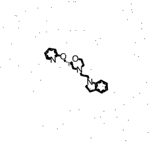 c1ccc(OC[C@H]2CN(CCN3CCc4ccccc43)CCO2)nc1